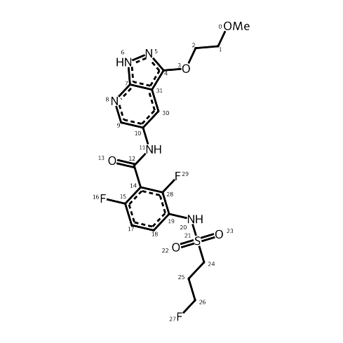 COCCOc1n[nH]c2ncc(NC(=O)c3c(F)ccc(NS(=O)(=O)CCCF)c3F)cc12